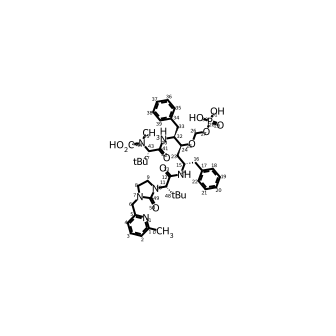 Cc1cccc(CN2CCN([C@H](C(=O)N[C@@H](Cc3ccccc3)C[C@H](OCOP(=O)(O)O)[C@H](Cc3ccccc3)NC(=O)[C@@H](N(C)C(=O)O)C(C)(C)C)C(C)(C)C)C2=O)n1